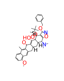 COc1cccc2c(C)c3c(cc12)C[C@H]1C[C@H]2[C@H](N(C)C)c4onc(OCc5ccccc5)c4C(=O)[C@@]2(O[Si](C)(C)C(C)(C)C)C(O)=C1C3=O